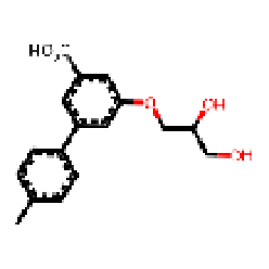 Cc1ccc(-c2cc(OCC(O)CO)cc(C(=O)O)c2)cc1